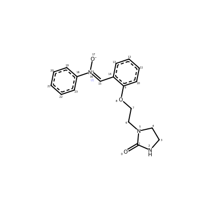 O=C1NCCN1CCOc1ccccc1/C=[N+](\[O-])c1ccccc1